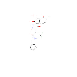 C[C@H](N(Cc1ccc(F)cc1)C(=O)CN1C(=O)NC2(C(=O)C(O)C3=C2C=CC(Br)C3=O)C1=O)C(F)(F)F